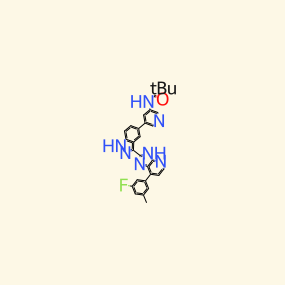 Cc1cc(F)cc(-c2ccnc3[nH]c(-c4n[nH]c5ccc(-c6cncc(NC(=O)C(C)(C)C)c6)cc45)nc23)c1